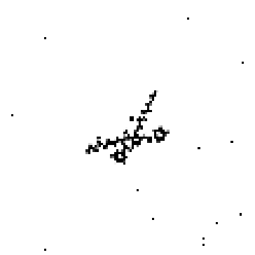 CCCCCCCC(O)CO[C@@H]1[C@@H](N(C)CCCCCC(=O)OCC)[C@H](OCc2ccccc2)C[C@@H]1OCc1ccccc1